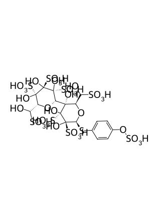 O=S(=O)(O)Oc1ccc(S[C@@H]2O[C@H](C(O)S(=O)(=O)O)[C@](O)([C@@H]3O[C@H](C(O)S(=O)(=O)O)[C@](O)(S(=O)(=O)O)[C@@](O)(S(=O)(=O)O)[C@]3(O)S(=O)(=O)O)[C@@](O)(S(=O)(=O)O)[C@]2(O)S(=O)(=O)O)cc1